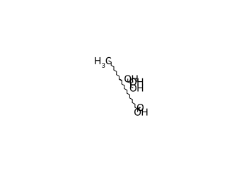 CCCCCCCCC=CCCCCCCCCCCCC(=O)O.OCC(O)CO